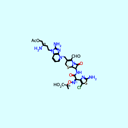 CC(=O)OC[C@@H](N)CCn1c(N)nc2c1ccc[n+]2CC1=C(C=O)N2C(=O)C(NC(=O)/C(=N\O[C@@H](C)C(=O)O)c3nc(N)sc3Cl)C2SC1